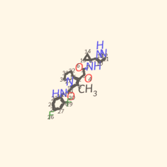 Cc1c(C(=O)C(=O)NC2(c3ccn[nH]3)CC2)c2n(c1C(=O)Nc1ccc(F)cc1F)CCC2